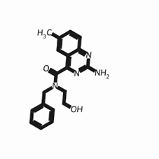 Cc1ccc2nc(N)nc(C(=O)N(CCO)Cc3ccccc3)c2c1